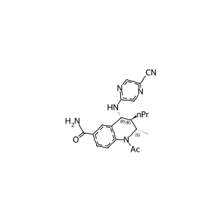 CCC[C@@H]1[C@@H](Nc2cnc(C#N)cn2)c2cc(C(N)=O)ccc2N(C(C)=O)[C@H]1C